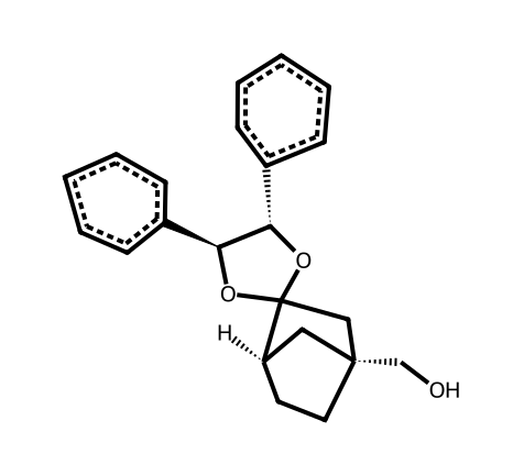 OC[C@]12CC[C@H](C1)C1(C2)O[C@@H](c2ccccc2)[C@H](c2ccccc2)O1